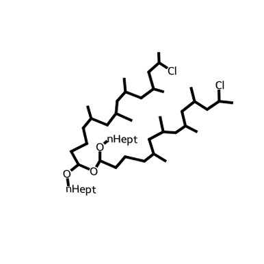 CCCCCCCOC(CCCC(C)CC(C)CC(C)CC(C)CC(C)Cl)OC(CCCC(C)CC(C)CC(C)CC(C)CC(C)Cl)OCCCCCCC